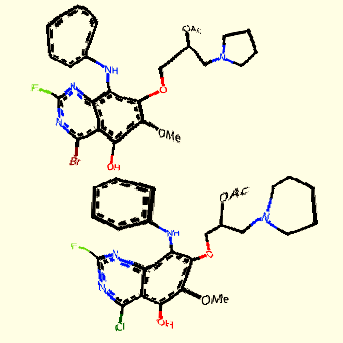 COc1c(OCC(CN2CCCC2)OC(C)=O)c(Nc2ccccc2)c2nc(F)nc(Br)c2c1O.COc1c(OCC(CN2CCCCC2)OC(C)=O)c(Nc2ccccc2)c2nc(F)nc(Cl)c2c1O